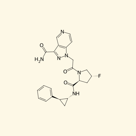 NC(=O)c1nn(CC(=O)N2C[C@H](F)C[C@H]2C(=O)N[C@@H]2C[C@H]2c2ccccc2)c2ccncc12